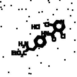 CCOC(=O)C(N)Cc1ccc(NC(=O)c2c(Cl)cncc2Cl)cc1.Cl